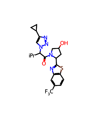 CC(C)C(C(=O)N1CC(O)CC1c1nc2cc(C(F)(F)F)ccc2s1)n1cc(C2CC2)nn1